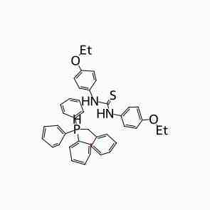 CCOc1ccc(NC(=S)Nc2ccc(OCC)cc2)cc1.c1ccc(C[PH](c2ccccc2)(c2ccccc2)c2ccccc2)cc1